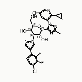 Cc1nc([C@@H]2O[C@H](CO)[C@H](O)[C@H](n3cc(-c4ccc(Cl)c(F)c4F)cn3)[C@H]2O)n(-c2cc(Cl)cnc2C2CC2)n1